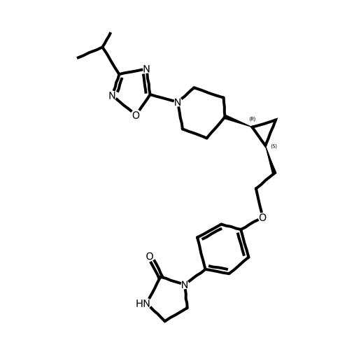 CC(C)c1noc(N2CCC([C@H]3C[C@H]3CCOc3ccc(N4CCNC4=O)cc3)CC2)n1